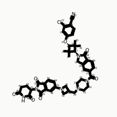 CC1(C)[C@H](Oc2ccc(C#N)c(Cl)c2)C(C)(C)[C@H]1N1Cc2cc(C(=O)N3CCN(CC4CN(c5ccc6c(c5)C(=O)N(C5CCC(=O)NC5=O)C6=O)C4)CC3)ccc2C1=O